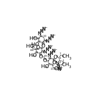 CCC(N=[N+]=[N-])[C@H](CC)O[C@H]1OC(CO)[C@@H](O)[C@H](OCO[C@H]2C(N=[N+]=[N-])[C@H](O[C@H]3C(N=[N+]=[N-])C[C@H](N=[N+]=[N-])C(O)[C@@H]3O)OC(CO)[C@@H]2O)C1N=[N+]=[N-]